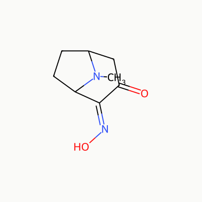 CN1C2CCC1/C(=N\O)C(=O)C2